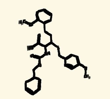 COc1ccc(CSC(CCc2ccccc2OC)C(NC(=O)OCc2ccccc2)C(=O)O)cc1